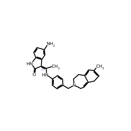 CC1=CCC2=CCN(Cc3ccc(N/C(C)=C4\C(=O)Nc5ccc(N)cc54)cc3)CCC2=C1